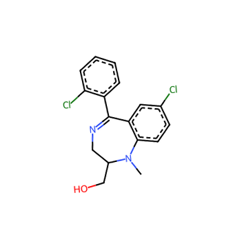 CN1c2ccc(Cl)cc2C(c2ccccc2Cl)=NCC1CO